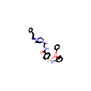 O=C(NCC(=O)N1CCN(CCc2ccccc2)CC1)c1ccc(S(=O)(=O)Nc2ccccc2Oc2ccccc2)cc1